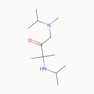 CC(C)NC(C)(C)C(=O)CN(C)C(C)C